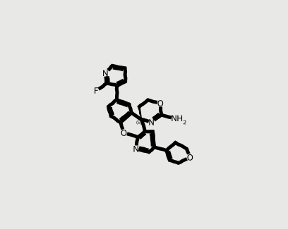 NC1=N[C@@]2(CCO1)c1cc(-c3cccnc3F)ccc1Oc1ncc(C3=CCOCC3)cc12